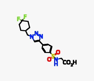 O=C(O)CNS(=O)(=O)c1ccc(-c2cn(CC3CCC(F)(F)CC3)nn2)cc1